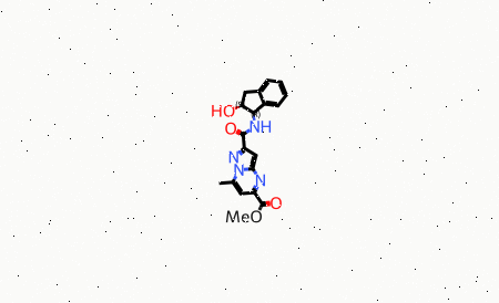 COC(=O)c1cc(C)n2nc(C(=O)N[C@@H]3c4ccccc4C[C@@H]3O)cc2n1